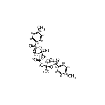 CCC(CC)(O[PH](=O)OC(CC)(CC)OS(=O)(=O)c1ccc(C)cc1)OS(=O)(=O)c1ccc(C)cc1